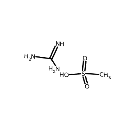 CS(=O)(=O)O.N=C(N)N